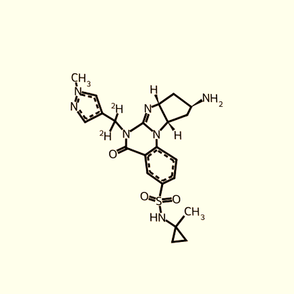 [2H]C([2H])(c1cnn(C)c1)N1C(=O)c2cc(S(=O)(=O)NC3(C)CC3)ccc2N2C1=N[C@@H]1C[C@@H](N)C[C@@H]12